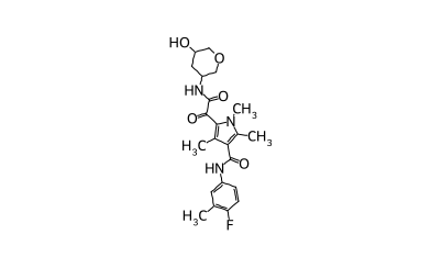 Cc1cc(NC(=O)c2c(C)c(C(=O)C(=O)NC3COCC(O)C3)n(C)c2C)ccc1F